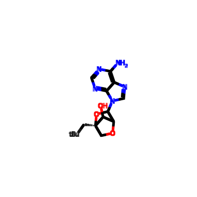 CC(C)(C)C[C@]12COC(C(n3cnc4c(N)ncnc43)O1)C2O